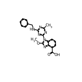 COc1nc2c(C(=O)O)cccc2n1-c1nc(C)nc(NCc2ccccc2)n1